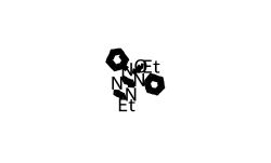 CCOC1N(c2ccccc2)c2ncc(CC)nc2N1c1ccccc1